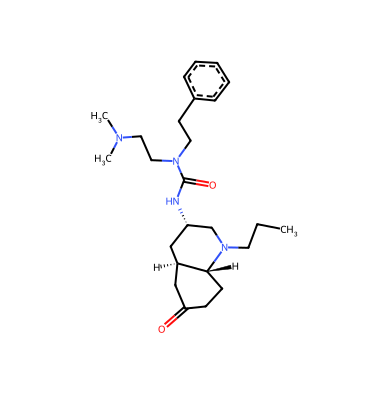 CCCN1C[C@@H](NC(=O)N(CCc2ccccc2)CCN(C)C)C[C@@H]2CC(=O)CC[C@H]21